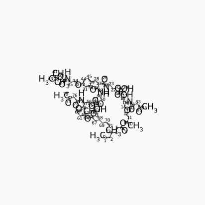 C/C=C\CCCC(=O)O[C@H](C)CCOCC(COP(=O)(O)OCCNC(=O)C(Cc1ccc(OCCNC(=O)OC(C)(C)C)cc1)C(=O)NCCOP(=O)(O)OCC(COCC[C@@H](C)OC(=O)CCC/C=C\C)NC(=O)CC(C)=O)NC(=O)CC(C)=O